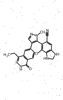 CCc1n[nH]c(=O)c2ccc(-c3cnn(C)c3-c3c(C#N)cc4c(c3Cl)NCN4)cc12